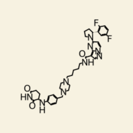 O=C1CCC(Nc2ccc(CN3CCN(CCCCCNC(=O)c4cnn5ccc(N6CCC[C@@H]6c6cc(F)ccc6F)nc45)CC3)cc2)C(=O)N1